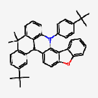 CC(C)(C)c1ccc(N2c3cccc4c3B(c3cc(C(C)(C)C)ccc3C4(C)C)c3ccc4oc5ccccc5c4c32)cc1